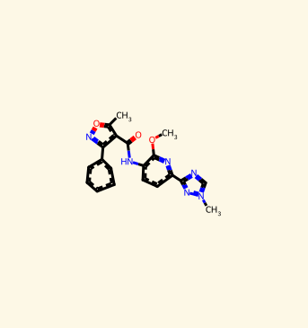 COc1nc(-c2ncn(C)n2)ccc1NC(=O)c1c(-c2ccccc2)noc1C